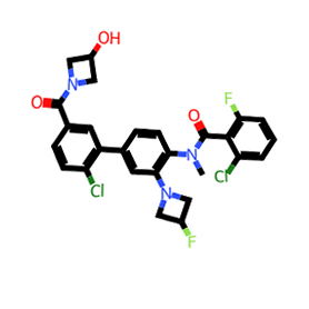 CN(C(=O)c1c(F)cccc1Cl)c1ccc(-c2cc(C(=O)N3CC(O)C3)ccc2Cl)cc1N1CC(F)C1